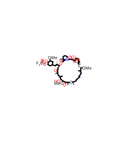 COC1CC(C[C@H](C)[C@@H]2CC(=O)[C@H](C)/C=C(\C)C(O)[C@@H](OC)C(=O)[C@H](C)C[C@H](C)/C=C/C=C/C=C(\C)[C@@H](OC)C[C@@H]3CC[C@@H](C)[C@@](O)(O3)C(=O)C(=O)N3CCCC[C@H]3C(=O)O2)CCC1OS(=O)(=O)C(F)(F)F